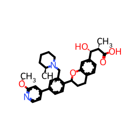 COc1cc(-c2ccc(C3CCc4ccc([C@H](O)[C@H](C)C(=O)O)cc4O3)c(CN3CCCC[C@@H]3C)c2)ccn1